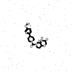 O=C1COC2CCN(C(=O)N3CCC(c4ccc(OC(F)(F)F)cn4)CC3)C[C@H]2N1